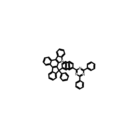 c1ccc(-c2nc(-c3ccccc3)nc(-c3ccc(-n4c5ccccc5c5c6ccccc6c6c(c54)C(c4ccccc4)(c4ccccc4)c4ccccc4-6)cc3)n2)cc1